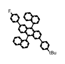 CC(C)(C)c1ccc(-c2ccc3c(-c4cccc5ccccc45)c4cc(-c5ccc(F)cc5)ccc4c(-c4cccc5ccccc45)c3c2)cc1